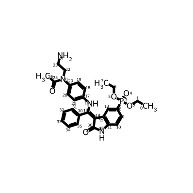 CCOP(=O)(OCC)c1ccc2c(c1)C(=C(Nc1ccc(N(CCN)C(C)=O)cc1)c1ccccc1)C(=O)N2